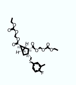 CCOC(=O)OCOC(=O)[C@@H]1[C@H](CSc2ccc(F)c(C)c2)C[C@H]2[C@H](C(=O)OCOC(=O)OCC)[C@H]21